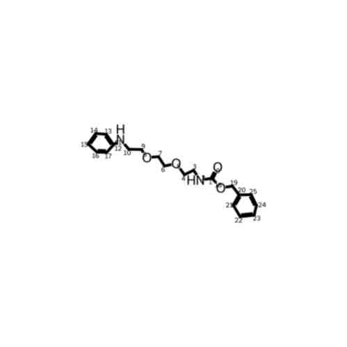 O=C(NCCOCCOCCNc1ccccc1)OCc1ccccc1